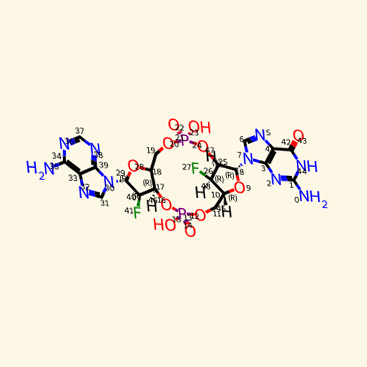 Nc1nc2c(ncn2[C@@H]2O[C@@H]3COP(=O)(O)O[C@@H]4C(COP(=O)(O)O[C@@H]2[C@@H]3F)O[C@@H](n2cnc3c(N)ncnc32)[C@@H]4F)c(=O)[nH]1